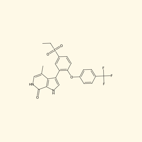 CCS(=O)(=O)c1ccc(Oc2ccc(C(F)(F)F)cc2)c(-c2c[nH]c3c(=O)[nH]cc(C)c23)c1